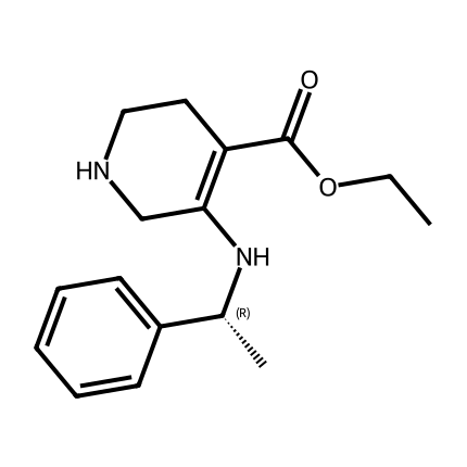 CCOC(=O)C1=C(N[C@H](C)c2ccccc2)CNCC1